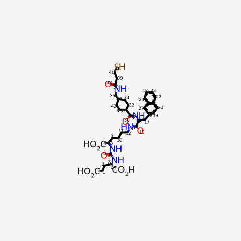 O=C(O)CC[C@H](NC(=O)NC(CCCCNC(=O)C(Cc1ccc2ccccc2c1)NC(=O)C1CCC(CNC(=O)CCS)CC1)C(=O)O)C(=O)O